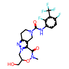 CN1OC(CO)Cn2nc3c(c2C1=O)CN(C(=O)Nc1ccc(F)c(C(F)(F)F)c1F)CC3